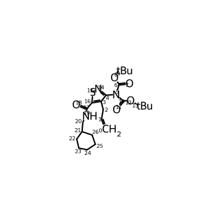 C=CCc1c(N(C(=O)OC(C)(C)C)C(=O)OC(C)(C)C)nsc1C(=O)NCC1CCCCC1